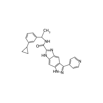 CC(NC(=O)c1nc2cc3c(-c4ccncc4)n[nH]c3cc2[nH]1)c1cccc(C2CC2)c1